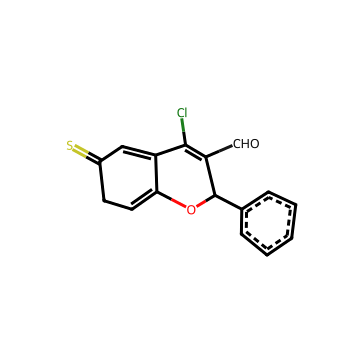 O=CC1=C(Cl)C2=CC(=S)CC=C2OC1c1ccccc1